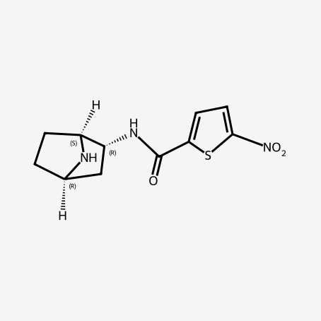 O=C(N[C@@H]1C[C@H]2CC[C@@H]1N2)c1ccc([N+](=O)[O-])s1